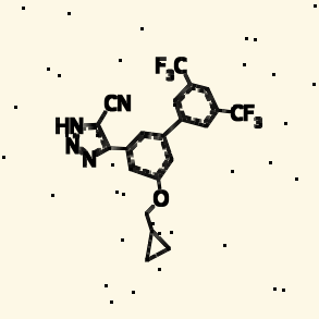 N#Cc1[nH]nnc1-c1cc(OCC2CC2)cc(-c2cc(C(F)(F)F)cc(C(F)(F)F)c2)c1